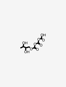 CC(O)C(O)COC(=O)OC(=O)OC(=O)O